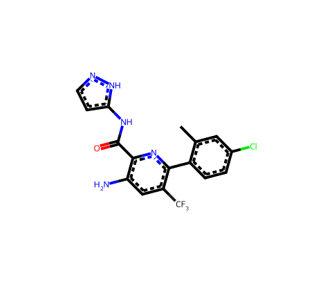 Cc1cc(Cl)ccc1-c1nc(C(=O)Nc2ccn[nH]2)c(N)cc1C(F)(F)F